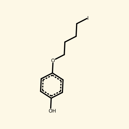 Oc1ccc(OCCCCI)cc1